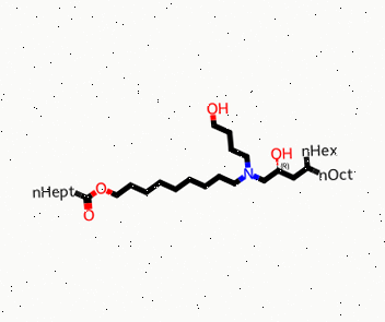 CCCCCCCCC(CCCCCC)C[C@@H](O)CN(CCCCO)CCCCCCCCCOC(=O)CCCCCCC